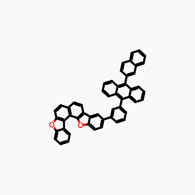 c1cc(-c2ccc3oc4c(ccc5ccc6oc7ccccc7c6c54)c3c2)cc(-c2c3ccccc3c(-c3ccc4ccccc4c3)c3ccccc23)c1